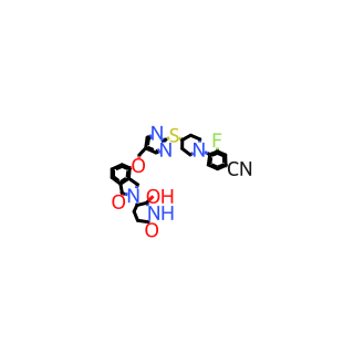 N#Cc1ccc(N2CCC(Sc3ncc(COc4cccc5c4CN([C@@H]4CCC(=O)NC4O)C5=O)cn3)CC2)c(F)c1